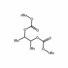 CCCCOC(=O)OC(C(OC(=O)OCCCC)C(C)(C)C)C(C)(C)C